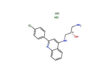 Cl.Cl.NC[C@H](O)CNc1cc(-c2ccc(Cl)cc2)nc2ccccc12